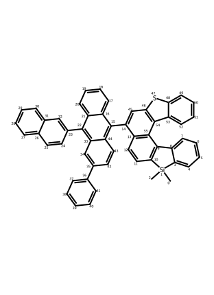 C[Si]1(C)c2ccccc2-c2c1ccc1c(-c3c4ccccc4c(-c4ccc5ccccc5c4)c4cc(-c5ccccc5)ccc34)cc3sc4ccccc4c3c21